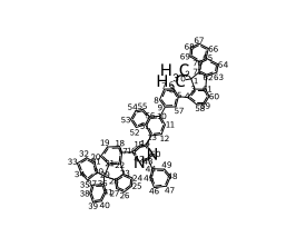 CC1(C)c2c(-c3cccc(-c4ccc(-c5cc(-c6cccc7c6-c6ccccc6C7(c6ccccc6)c6ccccc6)nc(-c6ccccc6)n5)c5ccccc45)c3)cccc2-c2ccc3ccccc3c21